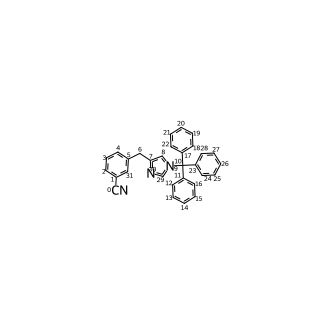 N#Cc1cccc(Cc2cn(C(c3ccccc3)(c3ccccc3)c3ccccc3)cn2)c1